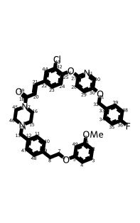 COc1cccc(OCCc2ccc(CN3CCN(C(=O)C=Cc4ccc(Oc5ccc(OCc6ccc(F)cc6)cn5)c(Cl)c4)CC3)cc2)c1